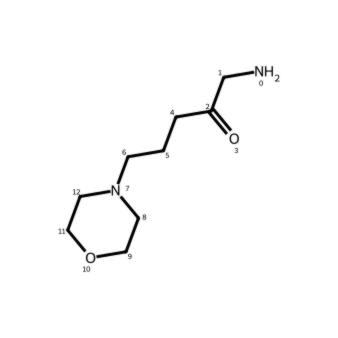 NCC(=O)CCCN1CCOCC1